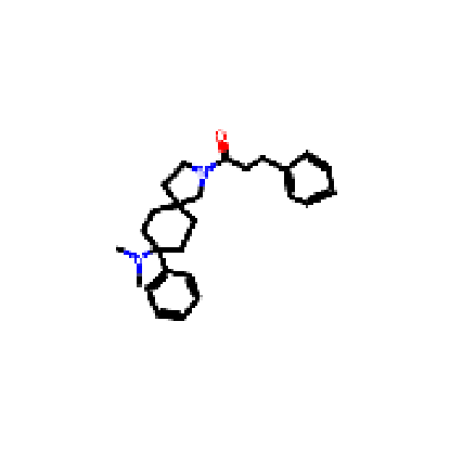 CN(C)C1(c2ccccc2)CCC2(CCN(C(=O)CCc3ccccc3)C2)CC1